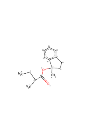 CCC(C)C(=O)OC1(C)CCc2ccccc21